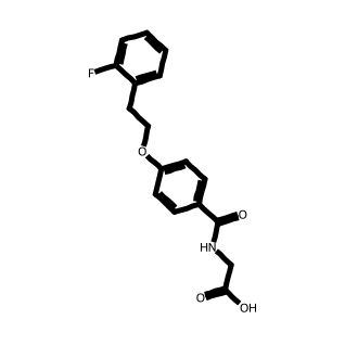 O=C(O)CNC(=O)c1ccc(OCCc2ccccc2F)cc1